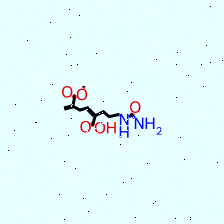 C=C(CC=C(CCCNC(N)=O)C(=O)O)C(=O)OC